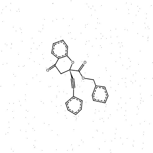 O=C1C[C@@](C#Cc2ccccc2)(C(=O)OCc2ccccc2)Oc2ccccc21